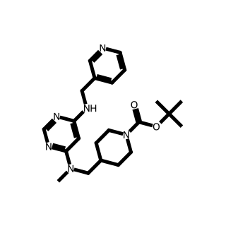 CN(CC1CCN(C(=O)OC(C)(C)C)CC1)c1cc(NCc2cccnc2)ncn1